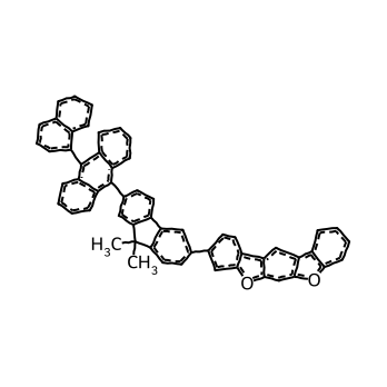 CC1(C)c2ccc(-c3ccc4c(c3)oc3cc5oc6ccccc6c5cc34)cc2-c2ccc(-c3c4ccccc4c(-c4cccc5ccccc45)c4ccccc34)cc21